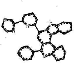 c1ccc(-c2nc3ccccc3c3c2cc(-c2cccc(-c4ccccn4)n2)c2oc4ccccc4c23)cc1